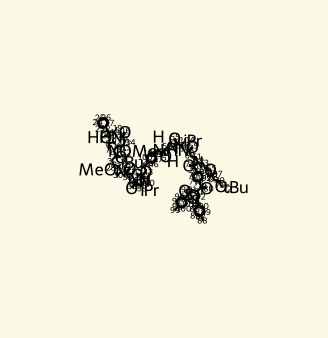 CC[C@H](C)C([C@@H](CC(=O)N1CCC[C@H]1[C@H](OC)[C@@H](C)C(=O)N[C@H](C)[C@@H](O)c1ccccc1)OC)N(C)C(=O)CNC(=O)C(C(C)C)N(C)C(=O)OCc1ccc(NC(=O)CNC(=O)C(NC(=O)CCN(CCOC(C)(C)CCOC(C)(C)C)C(=O)c2ccc(C(=O)C(CSc3ccc(C)cc3)CS(=O)(=O)c3ccc(C)cc3)cc2)C(C)C)cc1